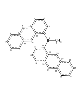 CB(c1cccc2cc3ccccc3cc12)c1cccc2cc3ccccc3cc12